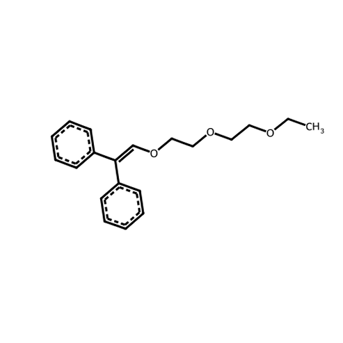 CCOCCOCCOC=C(c1ccccc1)c1ccccc1